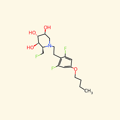 CCCCOc1cc(F)c(CCN2C[C@H](O)[C@@H](O)[C@H](O)[C@@H]2CF)c(F)c1